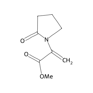 C=C(C(=O)OC)N1CCCC1=O